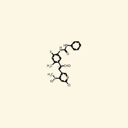 CCN(C)c1cc(Cl)ncc1/C=C(\C=O)c1cc(NC(=O)Nc2ccccc2)c(F)cc1C